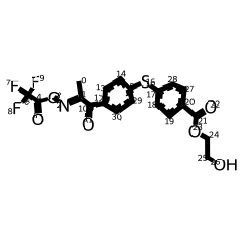 C/C(=N\OC(=O)C(F)(F)F)C(=O)c1ccc(Sc2ccc(C(=O)OCCO)cc2)cc1